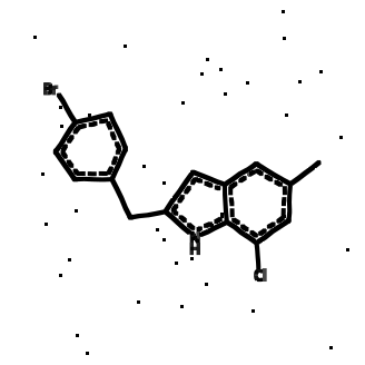 Cc1cc(Cl)c2[nH]c(Cc3ccc(Br)cc3)cc2c1